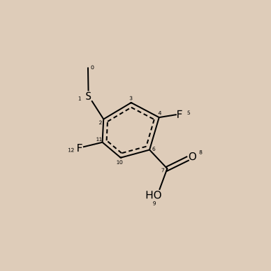 CSc1cc(F)c(C(=O)O)cc1F